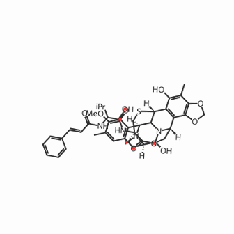 COc1c(C)cc2c(c1O)[C@H]1C3[C@@H]4SC[C@H](NC(=O)C(NC(=O)/C=C/c5ccccc5)C(C)C)C(=O)OC[C@@H](c5c6c(c(C)c(O)c54)OCO6)N3[C@@H](O)[C@@H](C2)N1C